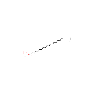 CCC(O)C(O)CCCCCC=CC=CC=CC=CC=CC=CC(=O)O